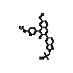 CCOc1ccc2cc(-c3ccc4nn(CC(C)(C)O)cc4c3)c(=O)n(-c3ccc(OC(F)(F)F)nc3)c2n1